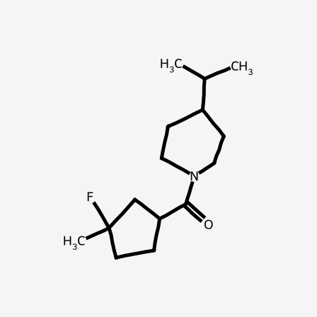 CC(C)C1CCN(C(=O)C2CCC(C)(F)C2)CC1